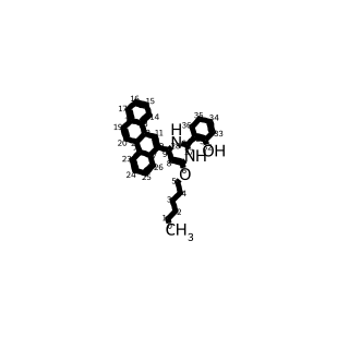 CCCCCCOC1=CC(C2=CC3c4ccccc4C=CC3C3C=CC=CC23)NC(C2=C(O)C=CCC2)N1